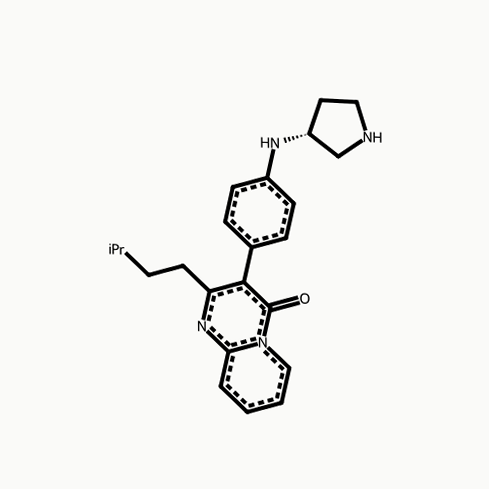 CC(C)CCc1nc2ccccn2c(=O)c1-c1ccc(N[C@@H]2CCNC2)cc1